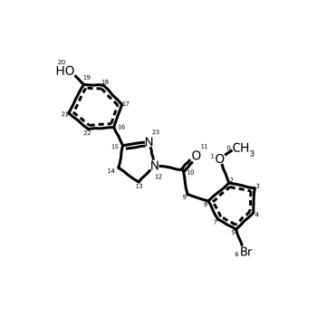 COc1ccc(Br)cc1CC(=O)N1CCC(c2ccc(O)cc2)=N1